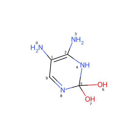 NC1=C(N)NC(O)(O)N=C1